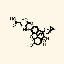 C[N+]1(CC2CC2)CC[C@]23c4c5ccc(N[C@@H](CCC(=O)O)C(=O)O)c4O[C@H]2[C@H](O)CC[C@@]3(O)[C@H]1C5